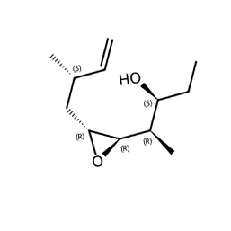 C=C[C@@H](C)C[C@H]1O[C@@H]1[C@H](C)[C@@H](O)CC